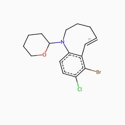 Clc1ccc2c(c1Br)/C=C/CCCN2C1CCCCO1